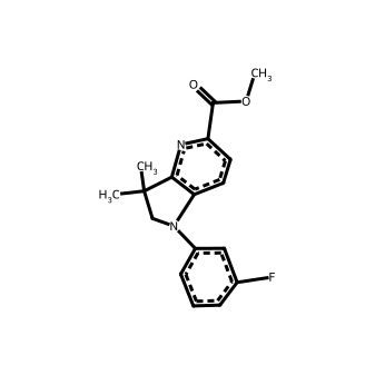 COC(=O)c1ccc2c(n1)C(C)(C)CN2c1cccc(F)c1